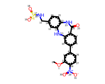 COc1cc(-c2ccc3c(c2)Nc2cc(CN[SH](=O)=O)ccc2NC3=O)ccc1[N+](=O)[O-]